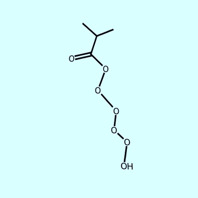 CC(C)C(=O)OOOOOO